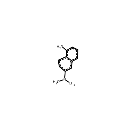 CN(C)c1ccc2c(N)cccc2c1